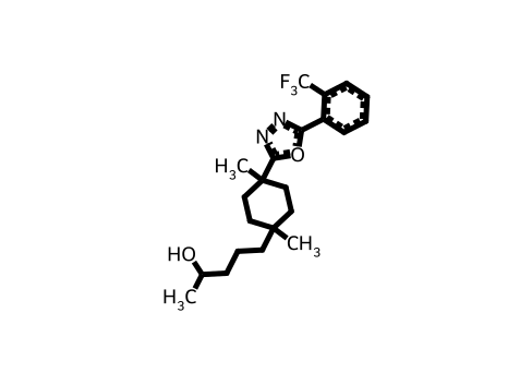 CC(O)CCCC1(C)CCC(C)(c2nnc(-c3ccccc3C(F)(F)F)o2)CC1